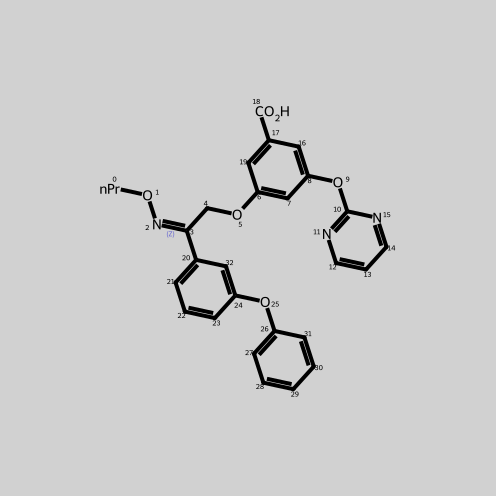 CCCO/N=C(\COc1cc(Oc2ncccn2)cc(C(=O)O)c1)c1cccc(Oc2ccccc2)c1